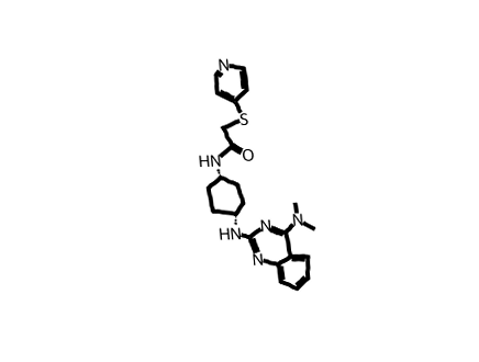 CN(C)c1nc(N[C@H]2CC[C@@H](NC(=O)CSc3ccncc3)CC2)nc2ccccc12